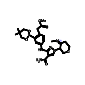 C/N=C1/CCOCC1n1cc(C(N)=O)c(Nc2ccc(CC(=O)OC)c(B3OCC(C)(C)CO3)c2)n1